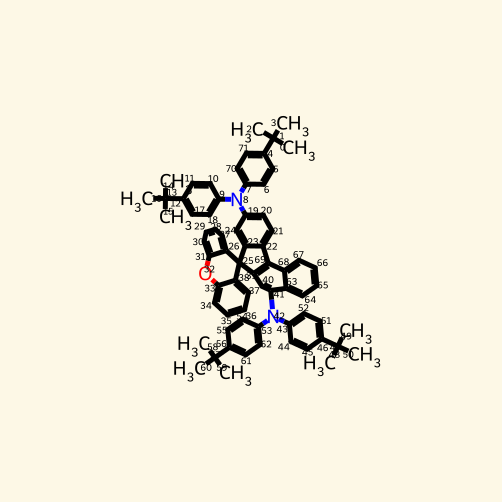 CC(C)(C)c1ccc(N(c2ccc(C(C)(C)C)cc2)c2ccc3c(c2)C2(c4ccccc4Oc4ccccc42)c2cc(N(c4ccc(C(C)(C)C)cc4)c4ccc(C(C)(C)C)cc4)c4ccccc4c2-3)cc1